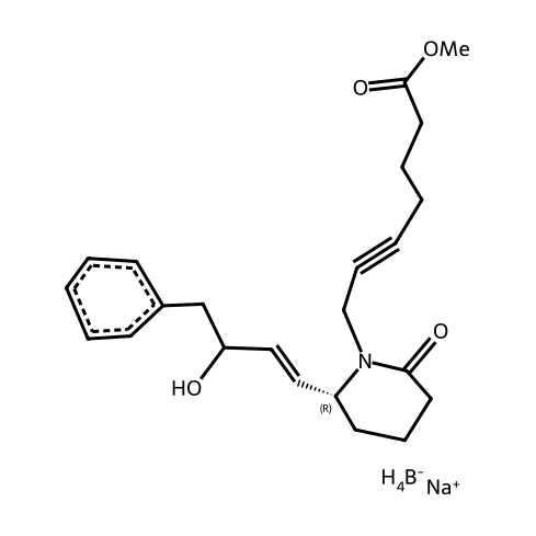 COC(=O)CCCC#CCN1C(=O)CCC[C@@H]1C=CC(O)Cc1ccccc1.[BH4-].[Na+]